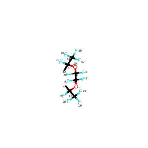 CC(F)(OC(F)(F)C(F)(F)OC(C)(F)C(F)(F)F)C(F)(F)F